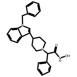 O=C(NO)C(c1ccccc1)N1CCC(c2cn(Cc3ccccc3)c3ccccc23)CC1